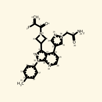 C=C(F)C(=O)N1CC(c2nn(-c3ccc(C)cc3)c3nccc(-c4cnn(CC(N)=O)c4)c23)C1